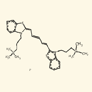 C[Si](C)(C)CCCN1C(=CC=CC=Cc2sc3ccccc3[n+]2CCC[Si](C)(C)C)Sc2ccccc21.[I-]